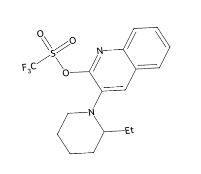 CCC1CCCCN1c1cc2ccccc2nc1OS(=O)(=O)C(F)(F)F